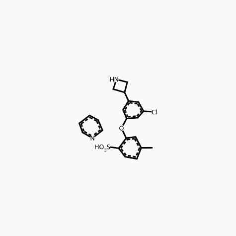 Cc1ccc(S(=O)(=O)O)c(Oc2cc(Cl)cc(C3CNC3)c2)c1.c1ccncc1